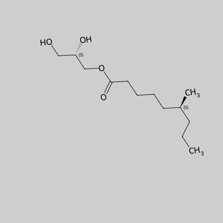 CCC[C@H](C)CCCCC(=O)OC[C@@H](O)CO